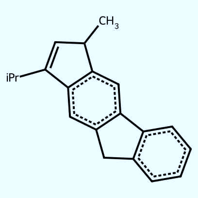 CC(C)C1=CC(C)c2cc3c(cc21)Cc1ccccc1-3